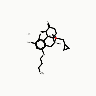 CCCCOc1cc(O)c2c3c1C[C@@H]1[C@@H]4CCC(=O)[C@H](O2)[C@]34CCN1CC1CC1.Cl